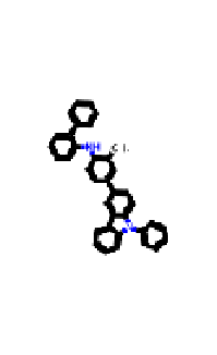 CC1C=C(c2ccc3c(c2)c2ccccc2n3-c2ccccc2)C=CC1Nc1ccccc1-c1ccccc1